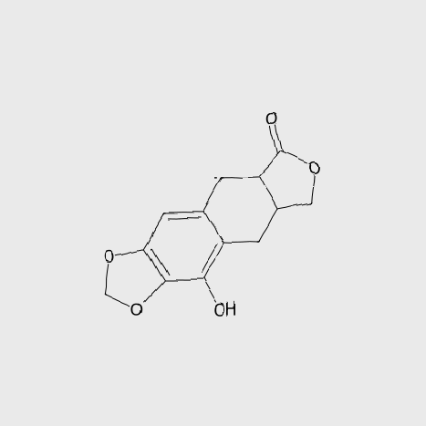 O=C1OCC2Cc3c(cc4c(c3O)OCO4)[CH]C12